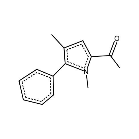 CC(=O)c1cc(C)c(-c2ccccc2)n1C